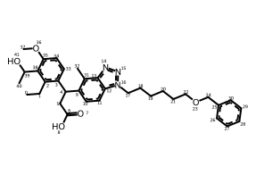 CCc1c(C(CC(=O)O)c2ccc3c(nnn3CCCCCCOCc3ccccc3)c2C)ccc(OC)c1C(C)O